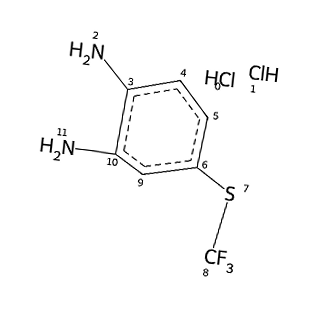 Cl.Cl.Nc1ccc(SC(F)(F)F)cc1N